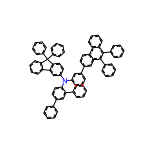 c1ccc(-c2ccc(N(c3cccc(-c4ccc5c(c4)c(-c4ccccc4)c(-c4ccccc4)c4ccccc45)c3)c3ccc4c(c3)-c3ccccc3C4(c3ccccc3)c3ccccc3)c(-c3ccccc3)c2)cc1